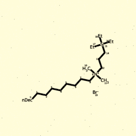 CCCCCCCCCCCCCCCCCC[N+](C)(C)CCC[Si](CC)(CC)CC.[Br-]